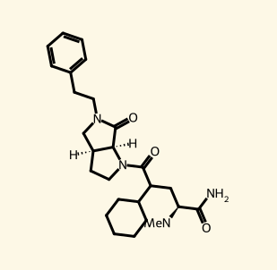 CN[C@@H](CC(C(=O)N1CC[C@H]2CN(CCc3ccccc3)C(=O)[C@H]21)C1CCCCC1)C(N)=O